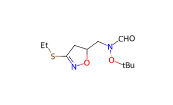 CCSC1=NOC(CN(C=O)OC(C)(C)C)C1